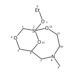 CCO[Si]12COCC(CN(C)CCO1)O2